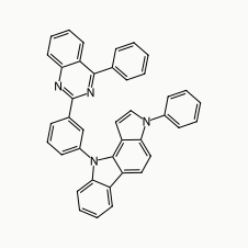 c1ccc(-c2nc(-c3cccc(-n4c5ccccc5c5ccc6c(ccn6-c6ccccc6)c54)c3)nc3ccccc23)cc1